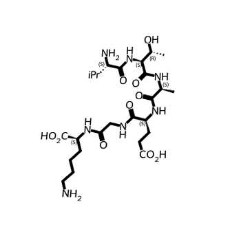 CC(C)[C@H](N)C(=O)N[C@H](C(=O)N[C@@H](C)C(=O)N[C@@H](CCC(=O)O)C(=O)NCC(=O)N[C@@H](CCCCN)C(=O)O)[C@@H](C)O